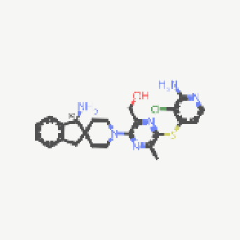 Cc1nc(N2CCC3(CC2)Cc2ccccc2[C@H]3N)c(CO)nc1Sc1ccnc(N)c1Cl